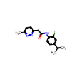 Cc1ccc(CC(=O)Nc2ccc(C(C)C)cc2F)nn1